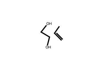 C=CC.OCCO